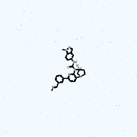 C/N=C/c1cccc(-c2ccc3c(n2)N(C(=O)Nc2ccc4c(cnn4C)c2)[C@H]2CCN3C2)c1